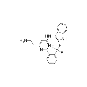 NCCc1cc(Nc2n[nH]c3ccccc23)nc(-c2ccccc2C(F)(F)F)n1